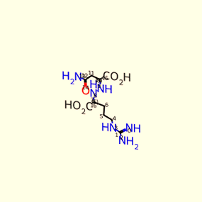 N=C(N)NCCC[C@H](NN[C@@H](CC(N)=O)C(=O)O)C(=O)O